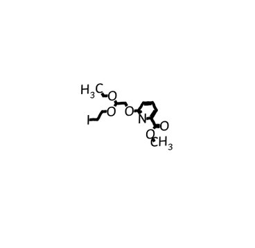 CCOC(COc1cccc(C(=O)OC)n1)OCCI